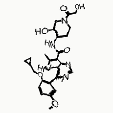 COc1ccc(OCC2CC2)c(-c2ncnc3c(C(=O)N[C@@H]4CCN(C(=O)CO)C[C@@H]4O)c(C)[nH]c23)c1